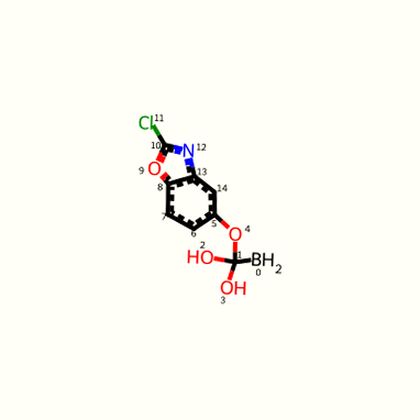 BC(O)(O)Oc1ccc2oc(Cl)nc2c1